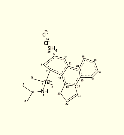 CC(C)[NH][Ti+2]([CH3])([CH3])[c]1cccc2c1c1c(c3ccccc32)C=CC1.[Cl-].[Cl-].[SiH4]